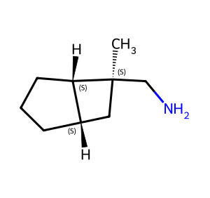 C[C@]1(CN)C[C@@H]2CCC[C@@H]21